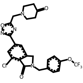 O=C1CCN(Cc2nc(-c3cc(Cl)c4c(c3)CN(Cc3ccc(OC(F)(F)F)cc3)C4=O)no2)CC1